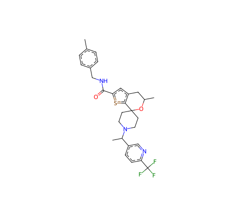 Cc1ccc(CNC(=O)c2cc3c(s2)C2(CCN(C(C)c4ccc(C(F)(F)F)nc4)CC2)OC(C)C3)cc1